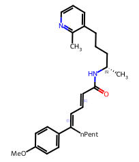 CCCCC/C(=C\C=C\C(=O)N[C@@H](C)CCCc1cccnc1C)c1ccc(OC)cc1